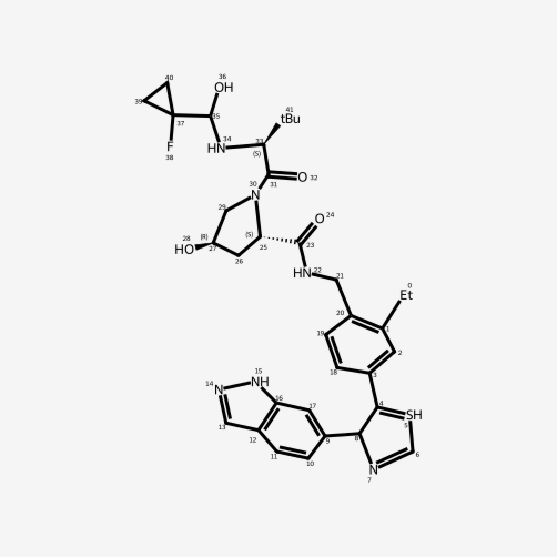 CCc1cc(C2=[SH]C=NC2c2ccc3cn[nH]c3c2)ccc1CNC(=O)[C@@H]1C[C@@H](O)CN1C(=O)[C@@H](NC(O)C1(F)CC1)C(C)(C)C